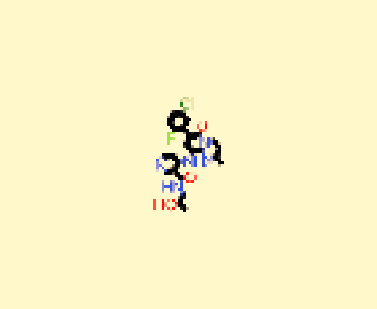 CC(O)CNC(=O)c1cnccc1Nc1cc(-c2cc(Cl)ccc2F)c(=O)n2c1N(C)C(C)CC2